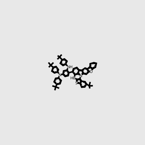 CC(C)(C)c1ccc(Nc2cc(N(c3ccc(C(C)(C)C)cc3)c3ccc(C(C)(C)C)cc3)ccc2-c2ccc3c4cc5c(cc4n4c3c2Bc2sc3ccc(C(C)(C)C)cc3c2-4)oc2ccccc25)cc1